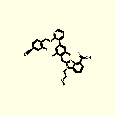 COCCn1c(Cc2c(F)cc(-c3cccnc3OCc3ccc(C#N)cc3F)cc2F)nc2c(C(=O)O)cccc21